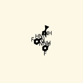 Fc1ccc(Nc2nc(Nc3cc(C4CC4)[nH]n3)c3cc(F)ccc3n2)c(F)c1